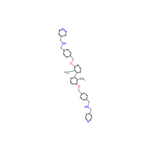 Cc1c(OCc2ccc(CNCc3ccncc3)cc2)cccc1-c1cccc(OCc2ccc(CNCc3ccncc3)cc2)c1C